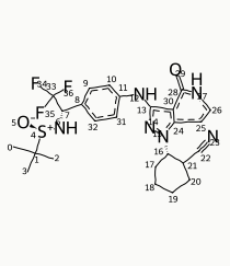 CC(C)(C)[S@@+]([O-])N[C@@H](c1ccc(Nc2nn([C@H]3CCCCC3C#N)c3cc[nH]c(=O)c23)cc1)C(F)(F)F